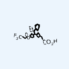 CCC(=C(c1ccc(C=CC(=O)O)cc1)c1ccc(OC(=O)CCC(F)(F)F)cc1)c1ccccc1